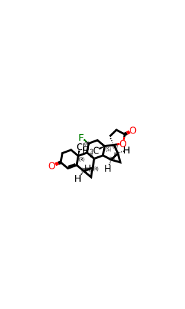 C[C@]12CCC(=O)C=C1[C@@H]1C[C@@H]1C1C2[C@@H](F)C[C@@]2(C)C1[C@@H]1C[C@@H]1[C@@]21CCC(=O)O1